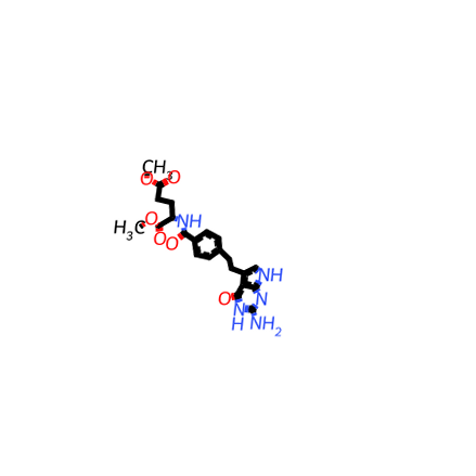 COC(=O)CCC(NC(=O)c1ccc(CCc2c[nH]c3nc(N)[nH]c(=O)c23)cc1)C(=O)OC